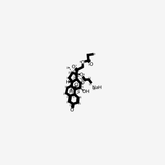 CCC(=O)OCC(=O)[C@@]1(OC(=O)CC)[C@@H](C)C[C@H]2[C@@H]3CCC4=CC(=O)C=C[C@]4(C)C3(Cl)[C@@H](O)C[C@@]21C.[NaH]